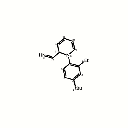 CCc1cc(C(C)(C)C)ccc1N1C=CC=CC1C=N